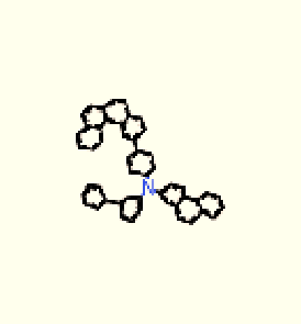 c1ccc(-c2cccc(N(c3ccc(-c4ccc5ccc6ccc7ccccc7c6c5c4)cc3)c3ccc4c(ccc5ccccc54)c3)c2)cc1